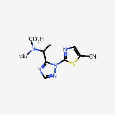 CC(c1ncnn1-c1ncc(C#N)s1)N(C(=O)O)C(C)(C)C